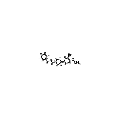 COc1ccc(-c2ccc(C=NCc3ccccc3)cc2)cc1Br